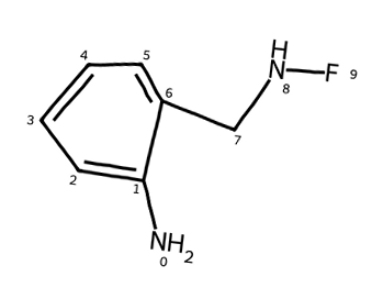 Nc1ccccc1CNF